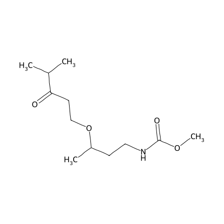 COC(=O)NCCC(C)OCCC(=O)C(C)C